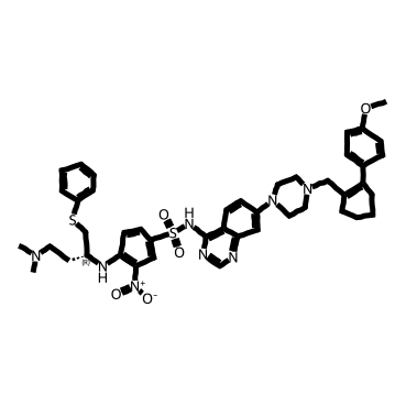 COc1ccc(C2=C(CN3CCN(c4ccc5c(NS(=O)(=O)c6ccc(N[C@H](CCN(C)C)CSc7ccccc7)c([N+](=O)[O-])c6)ncnc5c4)CC3)CCCC2)cc1